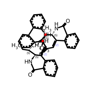 CC[C@H](C)[C@@H]1NC(=O)c2ccccc2/C1=C/C(=O)Nc1ccccc1-c1ccccc1NC(=O)/C=C1/c2ccccc2C(=O)N[C@H]1[C@@H](C)CC